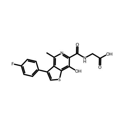 Cc1nc(C(=O)NCC(=O)O)c(O)c2scc(-c3ccc(F)cc3)c12